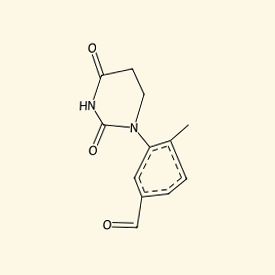 Cc1ccc(C=O)cc1N1CCC(=O)NC1=O